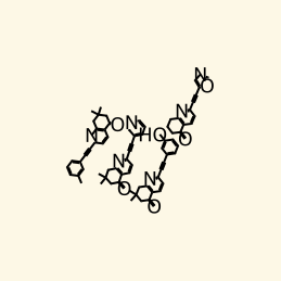 CC1(C)CC(=O)c2ccc(C#Cc3cccc(O)c3)nc2C1.CC1(C)CC(=O)c2ccc(C#Cc3cccnc3)nc2C1.Cc1cccc(C#Cc2ccc3c(n2)CC(C)(C)CC3=O)c1.O=C1CCCc2nc(C#Cc3cnco3)ccc21